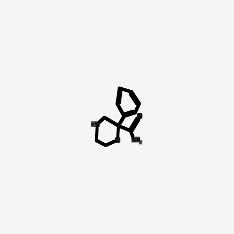 NC(=O)C1(c2ccccc2)CNCCO1